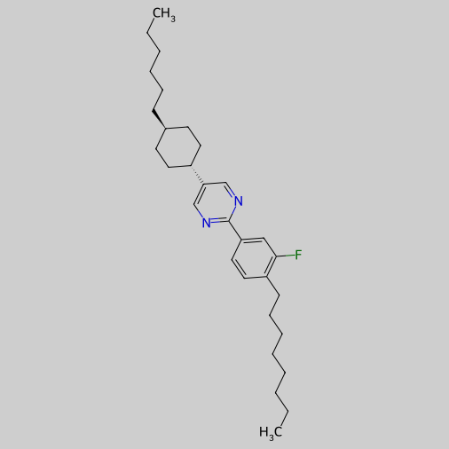 CCCCCCCCc1ccc(-c2ncc([C@H]3CC[C@H](CCCCCC)CC3)cn2)cc1F